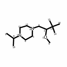 COC(CN1CCN(C(C)C)CC1)C(C)(C)C